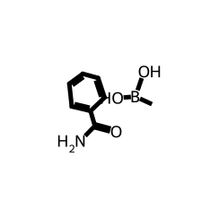 CB(O)O.NC(=O)c1ccccc1